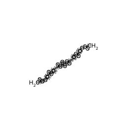 C=CC(=O)OCOc1ccc(C(=O)Oc2ccc(CCC(=O)OC3COC4C(OC(=O)CCc5ccc(OC(=O)c6ccc(OCOC(=O)C=C)cc6)cc5)COC34)cc2)cc1